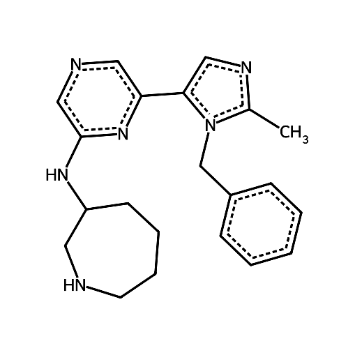 Cc1ncc(-c2cncc(NC3CCCCNC3)n2)n1Cc1ccccc1